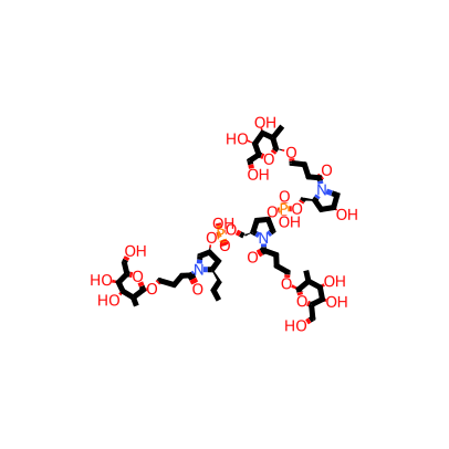 CCC[C@@H]1C[C@@H](OP(=O)(O)OC[C@@H]2C[C@@H](OP(=O)(O)OC[C@@H]3C[C@@H](O)CN3C(=O)CCCO[C@@H]3OC(CO)[C@H](O)[C@H](O)C3C)CN2C(=O)CCCO[C@@H]2OC(CO)[C@H](O)[C@H](O)C2C)CN1C(=O)CCCO[C@@H]1OC(CO)[C@H](O)[C@H](O)C1C